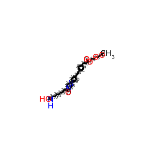 COCCOCCOC(=O)/C=C/c1ccc(C#Cc2ccc(N3CCN(C(=O)CCCCCCCNO)CC3)cc2)cc1